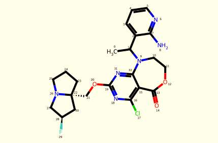 CC(c1cccnc1N)N1CCOC(=O)c2c(Cl)nc(OC[C@@]34CCCN3C[C@H](F)C4)nc21